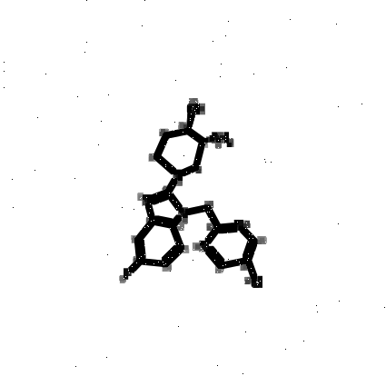 N[C@@H]1CN(c2nc3cc(F)ccc3n2Cc2ncc(Cl)cn2)CC[C@H]1O